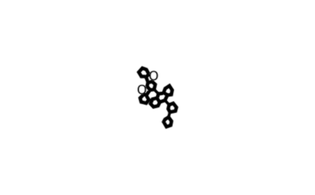 c1ccc(-c2cccc(-c3c4ccccc4c(-c4cc5oc6ccccc6c5c5oc6ccccc6c45)c4ccccc34)c2)cc1